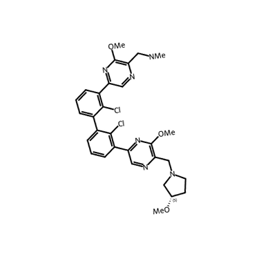 CNCc1ncc(-c2cccc(-c3cccc(-c4cnc(CN5CC[C@H](OC)C5)c(OC)n4)c3Cl)c2Cl)nc1OC